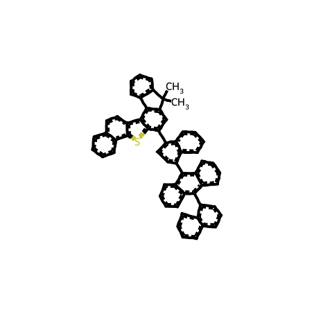 CC1(C)c2ccccc2-c2c1cc(-c1ccc(-c3c4ccccc4c(-c4cccc5ccccc45)c4ccccc34)c3ccccc13)c1sc3c4ccccc4ccc3c21